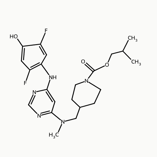 CC(C)COC(=O)N1CCC(CN(C)c2cc(Nc3cc(F)c(O)cc3F)ncn2)CC1